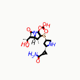 C[C@@H](O)[C@H]1C(=O)N2C(OC(=O)O)=C(S[C@@H]3CN[C@H](C4CC4C(N)=O)C3)[C@H](C)[C@H]12